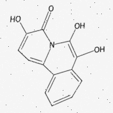 O=c1c(O)ccc2c3ccccc3c(O)c(O)n12